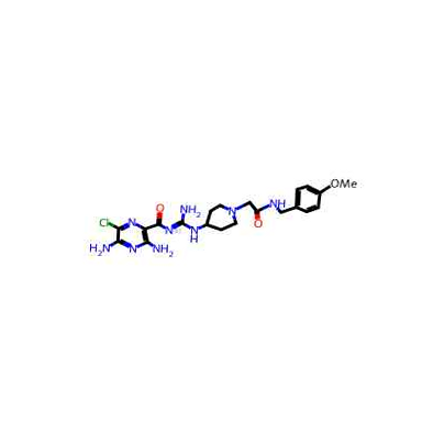 COc1ccc(CNC(=O)CN2CCC(N/C(N)=N/C(=O)c3nc(Cl)c(N)nc3N)CC2)cc1